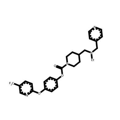 CCN(Cc1ccncc1)CC1CCN(C(=O)Oc2ccc(Oc3ccc(C(F)(F)F)cn3)cc2)CC1